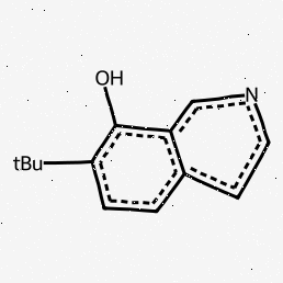 CC(C)(C)c1ccc2ccncc2c1O